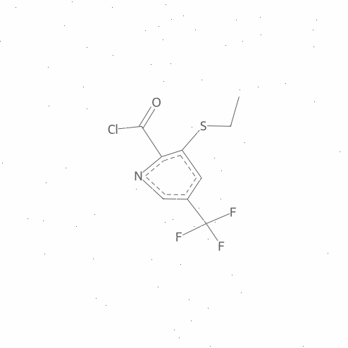 CCSc1cc(C(F)(F)F)cnc1C(=O)Cl